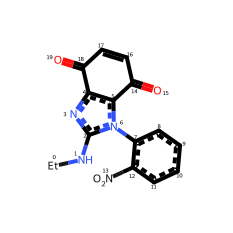 CCNc1nc2c(n1-c1ccccc1[N+](=O)[O-])C(=O)C=CC2=O